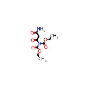 CCOC(=O)N(C(=O)CC(N)=O)C(=O)OCC